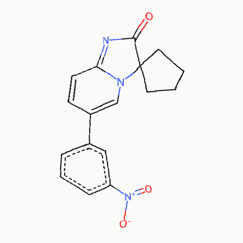 O=C1N=C2C=CC(c3cccc([N+](=O)[O-])c3)=CN2C12CCCC2